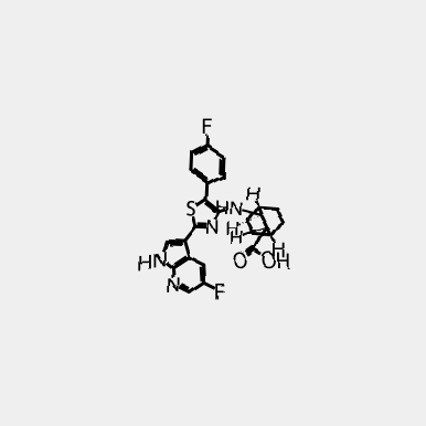 O=C(O)[C@H]1[C@H]2CC[C@H](CC2)[C@@H]1Nc1nc(-c2c[nH]c3ncc(F)cc23)sc1-c1ccc(F)cc1